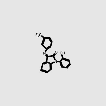 O=C1C(=Nc2cccc(C(F)(F)F)c2)c2ccccc2N1c1ccccc1O